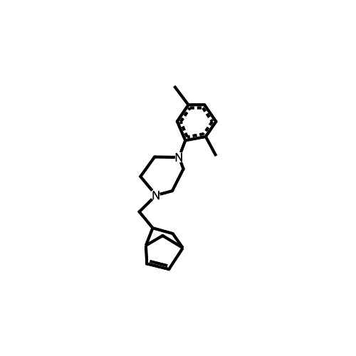 Cc1ccc(C)c(N2CCN(CC3CC4C=CC3C4)CC2)c1